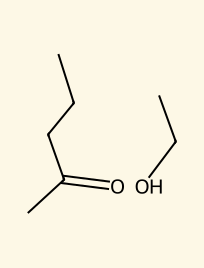 CCCC(C)=O.CCO